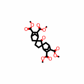 COC(=O)C1C2CC(C1C(=O)OC)C1(CCC3(CC4CC3C(C(=O)OC)C4C(=O)OC)C1=O)C2